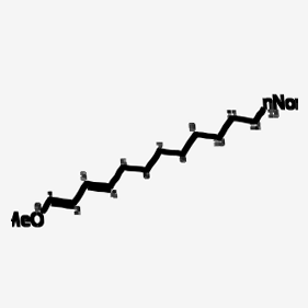 [CH2]O/C=C/C=C/CCCCCCCCCCCCCCCCC